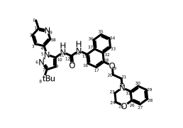 Cc1ccc(-n2nc(C(C)(C)C)cc2NC(=O)Nc2ccc(OCCN3CCOc4ccccc43)c3ccccc23)cn1